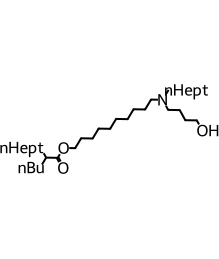 CCCCCCCC(CCCC)C(=O)OCCCCCCCCCCN(CCCCO)CCCCCCC